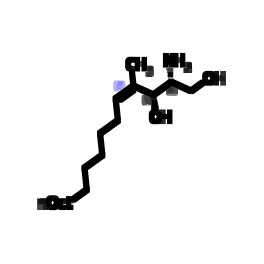 CCCCCCCCCCCCC/C=C(/C)[C@H](O)[C@H](N)CO